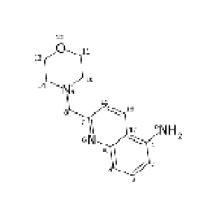 Nc1cccc2nc(CN3CCOCC3)ccc12